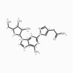 NC(=O)Cc1cnn(-c2nc(N)c3ncn(C4OC(CO)C(O)C4O)c3n2)c1